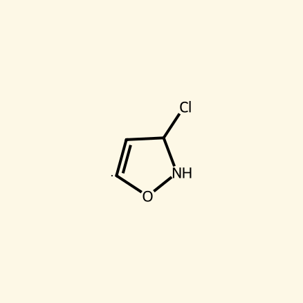 ClC1C=[C]ON1